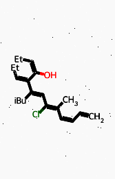 C=C\C=C/C(C)=C(Cl)/C=C(C(=C/CC)/C(O)=C\CC)\C(C)CC